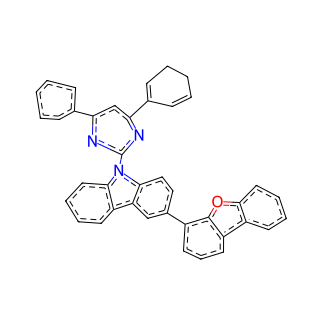 C1=CC(c2cc(-c3ccccc3)nc(-n3c4ccccc4c4cc(-c5cccc6c5oc5ccccc56)ccc43)n2)=CCC1